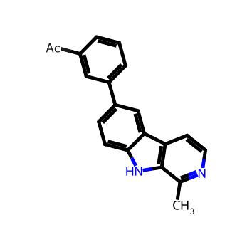 CC(=O)c1cccc(-c2ccc3[nH]c4c(C)nccc4c3c2)c1